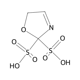 O=S(=O)(O)C1(S(=O)(=O)O)N=CCO1